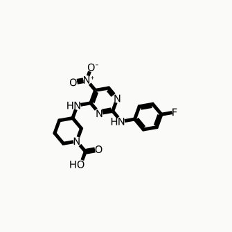 O=C(O)N1CCCC(Nc2nc(Nc3ccc(F)cc3)ncc2[N+](=O)[O-])C1